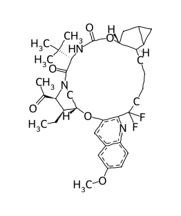 CC[C@@H]1[C@@H]2CN(C(=O)[C@H](C(C)(C)C)NC(=O)O[C@@H]3CC4CC4[C@H]3CCCCC(F)(F)c3nc4ccc(OC)cc4cc3O2)[C@@H]1C(C)=O